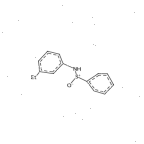 CCc1cccc(N[S+]([O-])c2ccccc2)c1